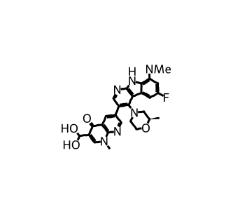 CNc1cc(F)cc2c1[nH]c1ncc(-c3cnc4c(c3)c(=O)c(C(O)O)cn4C)c(N3CCO[C@H](C)C3)c12